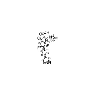 O=C(O)c1cn(Cc2nccs2)c2c(F)c(N3CCC(C4CCNCC4)CC3)c(F)cc2c1=O